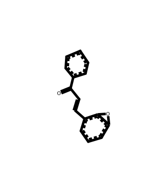 O=C(C=Cc1cccc2c1O2)c1ccccc1